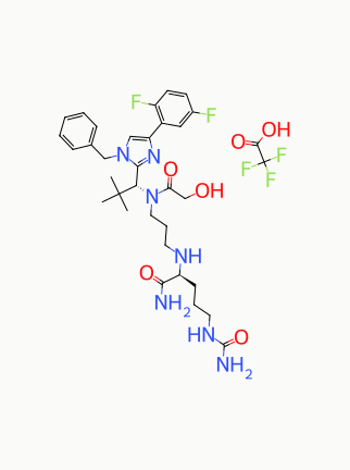 CC(C)(C)[C@H](c1nc(-c2cc(F)ccc2F)cn1Cc1ccccc1)N(CCCN[C@@H](CCCNC(N)=O)C(N)=O)C(=O)CO.O=C(O)C(F)(F)F